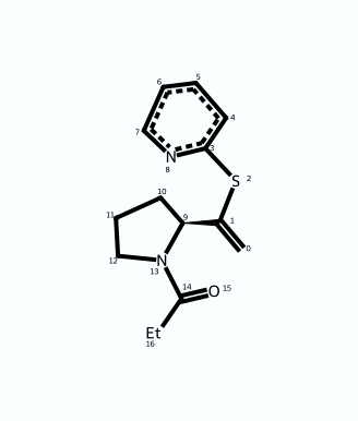 C=C(Sc1ccccn1)[C@@H]1CCCN1C(=O)CC